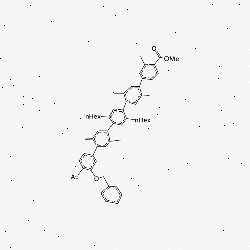 CCCCCCc1cc(-c2cc(C)c(-c3ccc(C(C)=O)c(OCc4ccccc4)c3)cc2C)c(CCCCCC)cc1-c1cc(C)c(-c2ccc(C(=O)OC)c(C)c2)cc1C